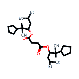 CCC(CC)CC(OC(=O)CCC(=O)OC(CC(CC)CC)C(C)(C#N)C1CCCC1)C(C)(C#N)C1CCCC1